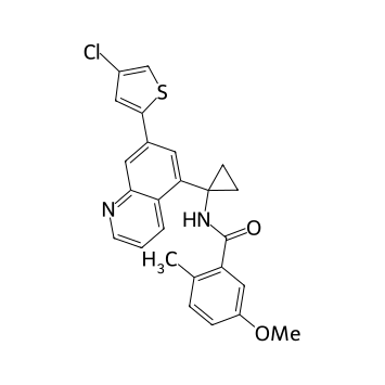 COc1ccc(C)c(C(=O)NC2(c3cc(-c4cc(Cl)cs4)cc4ncccc34)CC2)c1